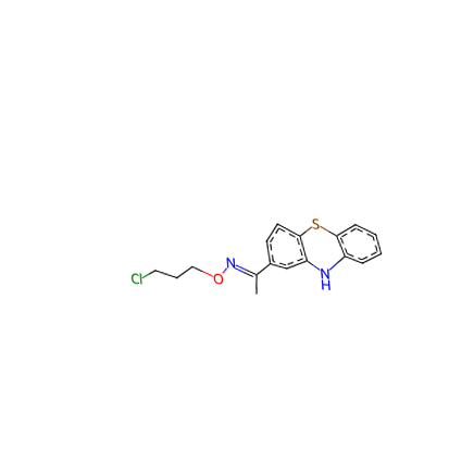 C/C(=N\OCCCCl)c1ccc2c(c1)Nc1ccccc1S2